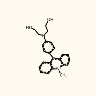 C[n+]1c2ccccc2c(-c2ccc(N(CCO)CCO)cc2)c2ccccc21